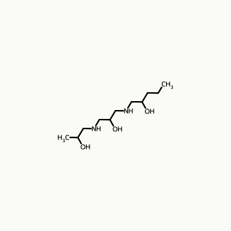 CCCC(O)CNCC(O)CNCC(C)O